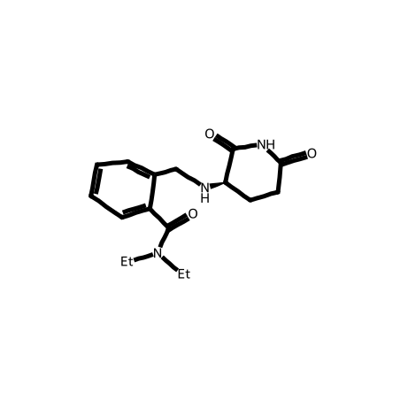 CCN(CC)C(=O)c1ccccc1CN[C@@H]1CCC(=O)NC1=O